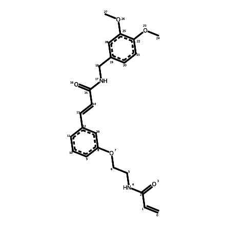 C=CC(=O)NCCOc1cccc(/C=C/C(=O)NCc2ccc(OC)c(OC)c2)c1